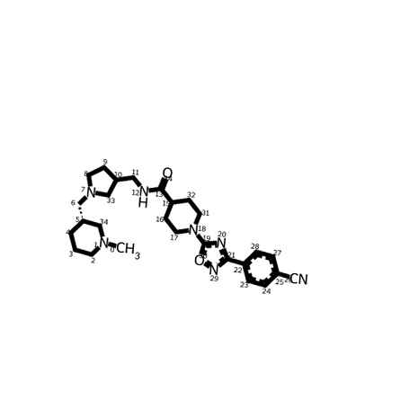 CN1CCC[C@H](CN2CCC(CNC(=O)C3CCN(c4nc(-c5ccc(C#N)cc5)no4)CC3)C2)C1